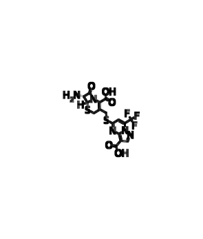 N[C@@H]1C(=O)N2C(C(=O)O)=C(CSc3cc(C(F)(F)F)n4ncc(C(=O)O)c4n3)CS[C@H]12